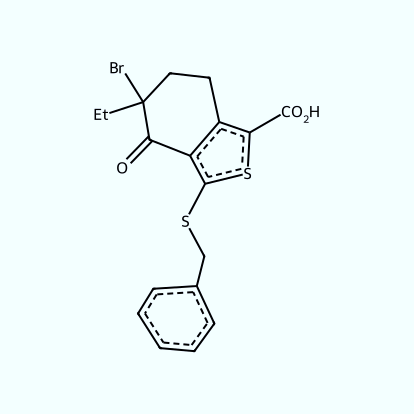 CCC1(Br)CCc2c(C(=O)O)sc(SCc3ccccc3)c2C1=O